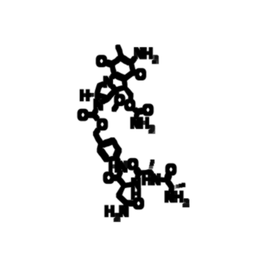 CO[C@]12C3[C@H](CN1C1=C(C(=O)C(N)=C(C)C1=O)[C@H]2COC(N)=O)N3C(=O)OCc1ccc(NC(=O)[C@H](CC(N)=O)NC(=O)[C@H](C)NC(=O)[C@H](C)N)cc1